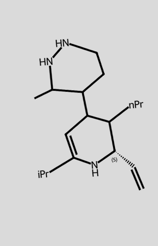 C=C[C@@H]1NC(C(C)C)=CC(C2CCNNC2C)C1CCC